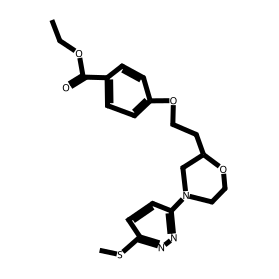 CCOC(=O)c1ccc(OCCC2CN(c3ccc(SC)nn3)CCO2)cc1